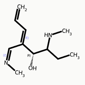 C=C/C=C(\C=N/C)[C@@H](O)C(CC)NC